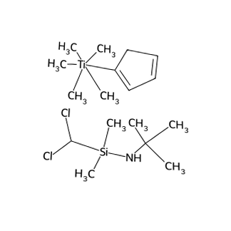 CC(C)(C)N[Si](C)(C)C(Cl)Cl.[CH3][Ti]([CH3])([CH3])([CH3])([CH3])[C]1=CC=CC1